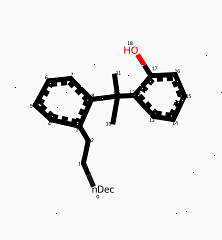 CCCCCCCCCCCCc1ccccc1C(C)(C)c1ccccc1O